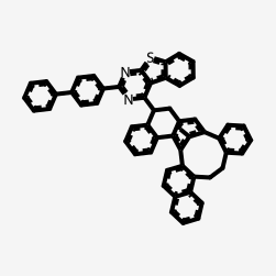 Cc1c2cc3c(c1-c1ccc4ccccc4c1CCc1ccccc1-2)-c1ccccc1C(c1nc(-c2ccc(-c4ccccc4)cc2)nc2sc4ccccc4c12)C3